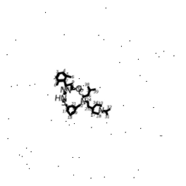 Cc1cccc(C)c1-c1cc2nc(n1)NSc1cccc(c1)CN(CCC1CCN(C(C)C)CC1)C(CC(C)C)CO2